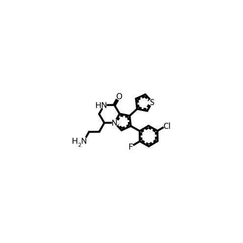 NCCC1CNC(=O)c2c(-c3ccsc3)c(-c3cc(Cl)ccc3F)cn21